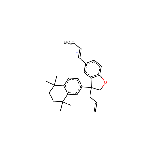 C=CCC1(c2ccc3c(c2)C(C)(C)CCC3(C)C)COc2ccc(/C=C/C(=O)OCC)cc21